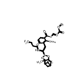 COc1c(CC(NC(=O)CCC(F)(F)F)B2OC3CC4CC(C4(C)C)C3(C)O2)cccc1C(=O)OCOC(=O)OC(C)C